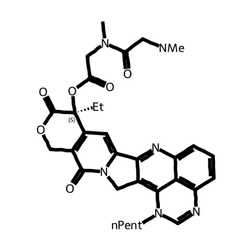 CCCCCN1C=Nc2cccc3nc4c(c1c23)Cn1c-4cc2c(c1=O)COC(=O)[C@@]2(CC)OC(=O)CN(C)C(=O)CNC